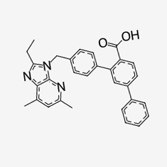 CCc1nc2c(C)cc(C)nc2n1Cc1ccc(-c2cc(-c3ccccc3)ccc2C(=O)O)cc1